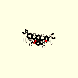 CCN(CC)c1ccc2c(c1)Oc1cc3c(cc1C21c2ccccc2C(=O)N1N)C1(c2ccc(N(CC)CC)cc2O3)c2ccccc2C(=O)N1N